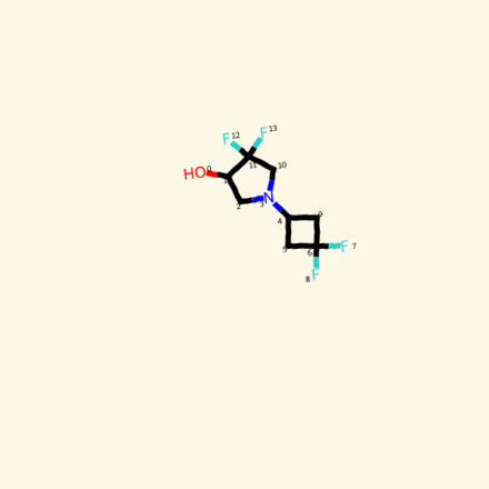 OC1CN(C2CC(F)(F)C2)CC1(F)F